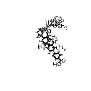 CC1C(c2ccc(C(=O)O)cc2)=CCC2(C)C1CCC1(C)C2CCC2C3CCCC3(NC(=O)NCCN(C)S(C)(=O)=O)CC[C@]21C